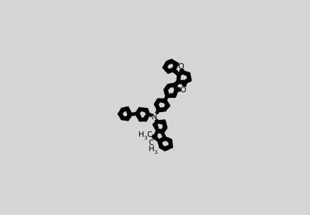 CC1(C)c2ccccc2-c2ccc(N(c3ccc(-c4ccccc4)cc3)c3ccc(-c4ccc5c(c4)oc4ccc6oc7ccccc7c6c45)cc3)cc21